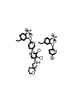 CCc1ccc(S(C)(=O)=O)c(Oc2ccc(-n3ncc(NCC4(F)CCCOC4)c(Cl)c3=O)cn2)c1.CCc1ccc(S(C)(=O)=O)c(Oc2ccc(Br)cn2)c1